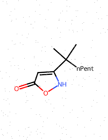 CCCCCC(C)(C)c1cc(=O)o[nH]1